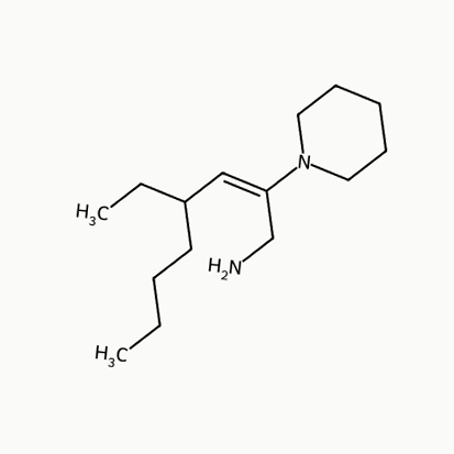 CCCCC(C=C(CN)N1CCCCC1)CC